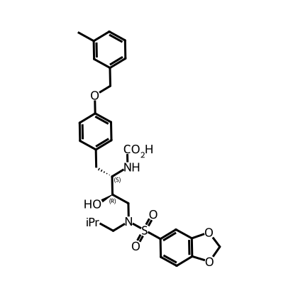 Cc1cccc(COc2ccc(C[C@H](NC(=O)O)[C@H](O)CN(CC(C)C)S(=O)(=O)c3ccc4c(c3)OCO4)cc2)c1